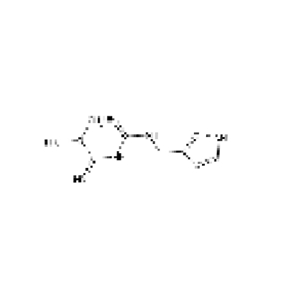 CN(C)C(=N)NC(=N)NCc1cc[nH]c1